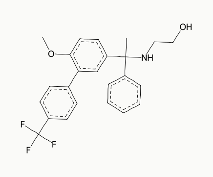 COc1ccc(C(C)(NCCO)c2ccccc2)cc1-c1ccc(C(F)(F)F)cc1